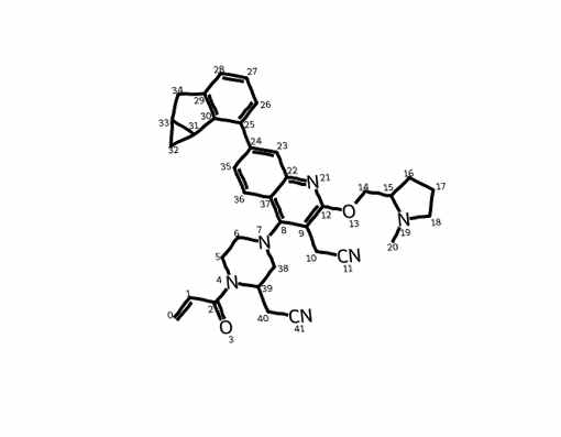 C=CC(=O)N1CCN(c2c(CC#N)c(OCC3CCCN3C)nc3cc(-c4cccc5c4C4CC4C5)ccc23)CC1CC#N